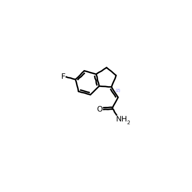 NC(=O)/C=C1/CCc2cc(F)ccc21